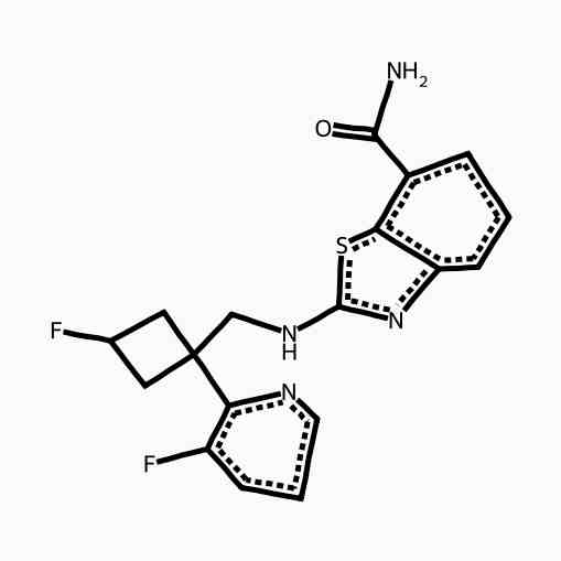 NC(=O)c1cccc2nc(NCC3(c4ncccc4F)CC(F)C3)sc12